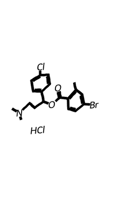 Cc1cc(Br)ccc1C(=O)OC(CCN(C)C)c1ccc(Cl)cc1.Cl